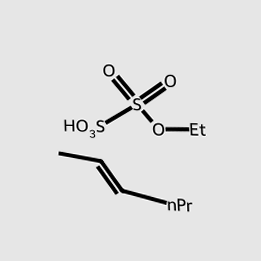 CC=CCCC.CCOS(=O)(=O)S(=O)(=O)O